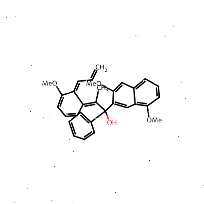 C=C/C=c1/c(OC)ccc/c1=C(/C)C(O)(c1ccccc1)c1cc2c(OC)cccc2cc1OC